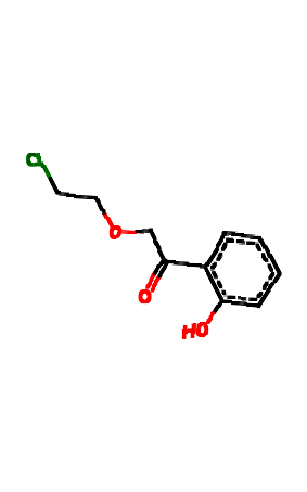 O=C(COCCCl)c1ccccc1O